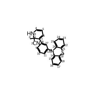 CC1(C#N)NC=CC=C1c1cccc(N2c3ccccc3Sc3ccccc32)c1